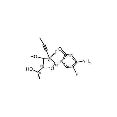 CC#C[C@@]1(F)C(O)[C@@H]([C@@H](C)O)O[C@H]1n1cc(F)c(N)nc1=O